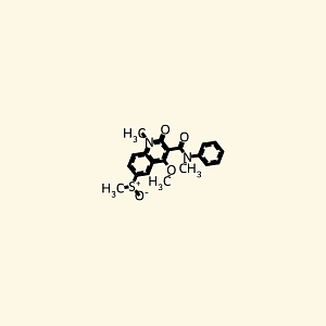 COc1c(C(=O)N(C)c2ccccc2)c(=O)n(C)c2ccc([S+](C)[O-])cc12